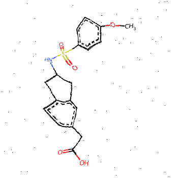 COc1ccc(S(=O)(=O)NC2Cc3ccc(CC(=O)O)cc3C2)cc1